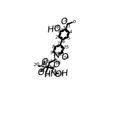 CC(=O)c1ccc(-c2ccn(CCC(C)(C(=O)NO)S(C)(=O)=O)c(=O)c2)cc1O